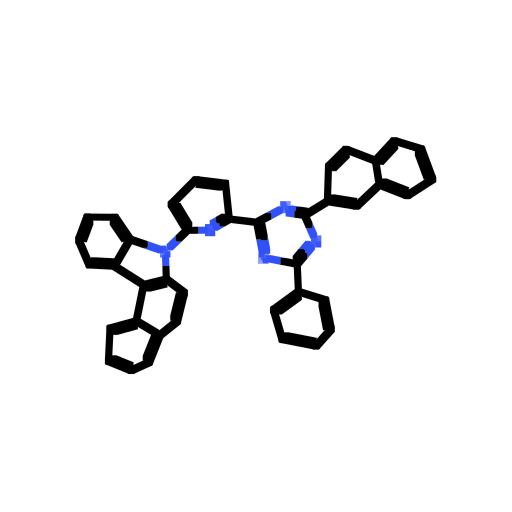 c1ccc(-c2nc(-c3ccc4ccccc4c3)nc(-c3cccc(-n4c5ccccc5c5c6ccccc6ccc54)n3)n2)cc1